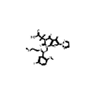 COCCO[C@@H](Cn1c(=O)n(C(C)(C)C(=O)O)c(=O)c2c(C)c(-n3nccn3)sc21)c1cc(F)ccc1OC